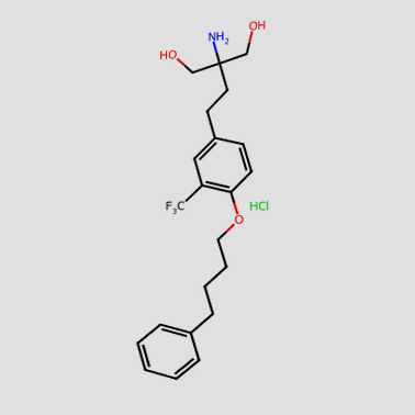 Cl.NC(CO)(CO)CCc1ccc(OCCCCc2ccccc2)c(C(F)(F)F)c1